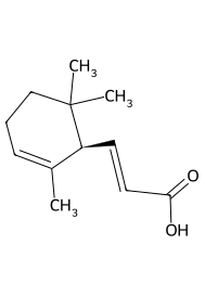 CC1=CCCC(C)(C)[C@H]1/C=C/C(=O)O